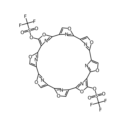 O=S(=O)(Oc1oc2nc1-c1nc(co1)-c1nc(co1)-c1nc(co1)-c1nc(c(OS(=O)(=O)C(F)(F)F)o1)-c1nc(co1)-c1nc(co1)-c1nc-2co1)C(F)(F)F